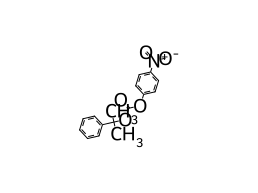 CC(C)(OC(=O)Oc1ccc([N+](=O)[O-])cc1)c1ccccc1